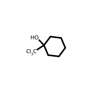 OC1(C(Cl)(Cl)Cl)CCCCC1